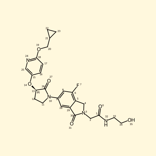 O=C(CN1Cc2c(F)cc(N3CC[C@@H](Oc4ccc(OCC5CC5)nc4)C3=O)cc2C1=O)NCCO